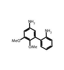 COc1cc(N)cc(-c2ccccc2N)c1OC